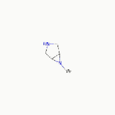 CC(C)N1C2CNCC21